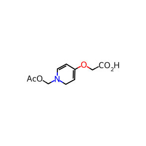 CC(=O)OCN1C=CC(OCC(=O)O)=CC1